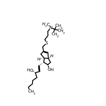 CCCCC[C@H](O)/C=C/[C@@H]1[C@H]2CC(CSCCCN(C)C(C)(C)C)=C[C@H]2C[C@H]1O